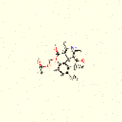 CCCC(=O)OCOC(=O)C1=C(C)NC(C)=C(C(=O)OC)C1c1cccc([N+](=O)[O-])c1